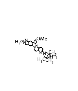 COCOc1cc2nn(C)cc2cc1-c1ccc2nc(N3CC(C)(C)NC(C)(C)C3)ccc2n1